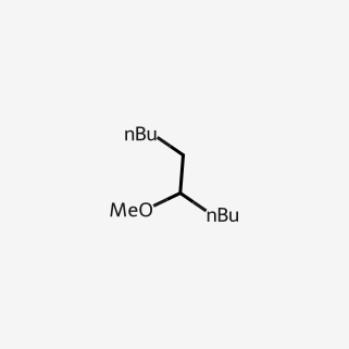 CCCCCC(CCCC)OC